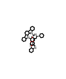 c1ccc(-c2cc(-c3ccccc3)nc(-n3c4ccccc4c4ccc5c6ccccc6n(-c6cccc(-c7cnc8ccccc8n7)c6)c5c43)n2)cc1